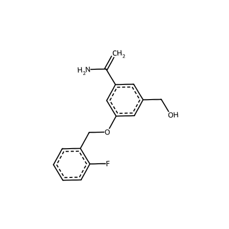 C=C(N)c1cc(CO)cc(OCc2ccccc2F)c1